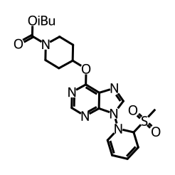 CC(C)COC(=O)N1CCC(Oc2ncnc3c2ncn3N2C=CC=CC2S(C)(=O)=O)CC1